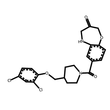 O=C1CNc2cc(C(=O)N3CCC(COc4ccc(Cl)cc4Cl)CC3)ccc2OC1